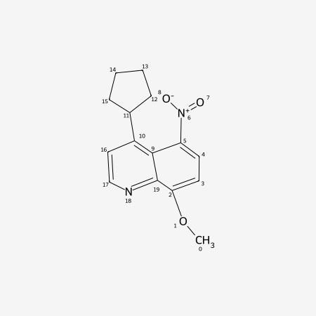 COc1ccc([N+](=O)[O-])c2c(C3CCCC3)ccnc12